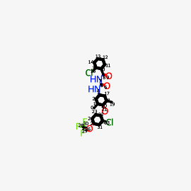 Cc1cc(NC(=O)NC(=O)c2ccccc2Cl)cc(C)c1Oc1ccc(OC(F)(F)F)cc1Cl